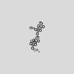 Cc1cccc(N2c3cccc(C)c3B3c4cccc5c4N(c4ccccc4C54C5CC6CC4CC(c4ccc(N7c8ccc(C(C)(C)C)cc8B8c9cccc%10c9N(c9ccccc9C%109C%10CC%11CC(C%10)CC9C%11)c9cccc7c98)cc4)(C6)C5)c4cccc2c43)c1